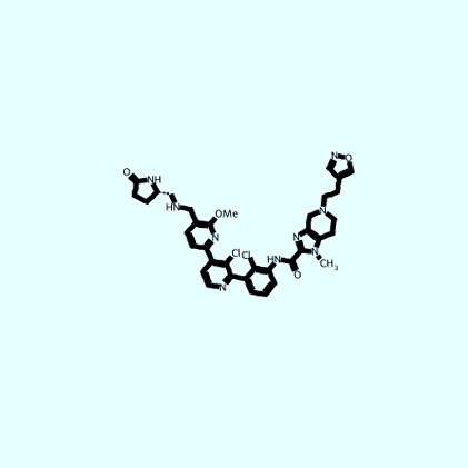 COc1nc(-c2ccnc(-c3cccc(NC(=O)c4nc5c(n4C)CCN(CCc4cnoc4)C5)c3Cl)c2Cl)ccc1CNC[C@@H]1CCC(=O)N1